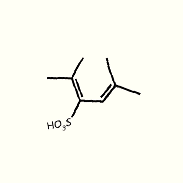 CC(C)=CC(=C(C)C)S(=O)(=O)O